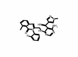 Cc1cccc2cc(CNc3ncnc(N)c3C(=N)c3cnn(C)c3)n(-c3ccccc3F)c(=O)c12